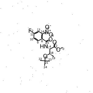 COC(=O)[C@@H](NC(=O)c1ccc(F)cc1[N+](=O)[O-])[C@@H](C)OC(C)(C)C